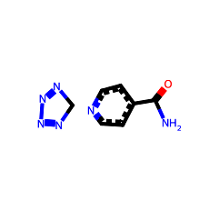 C1N=NN=N1.NC(=O)c1ccncc1